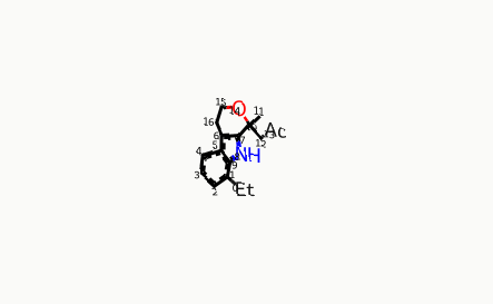 CCc1cccc2c3c([nH]c12)C(C)(CC(C)=O)OCC3